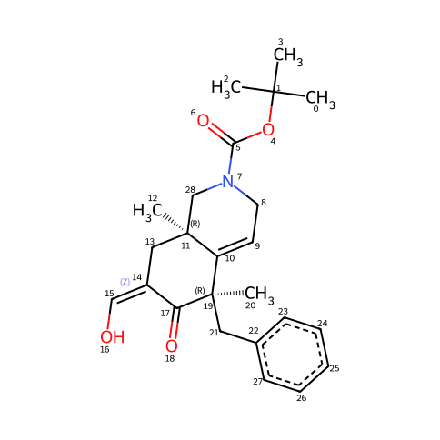 CC(C)(C)OC(=O)N1CC=C2[C@@](C)(C/C(=C/O)C(=O)[C@]2(C)Cc2ccccc2)C1